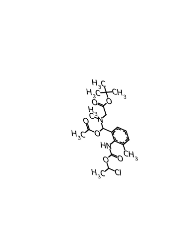 CC(=O)OC(c1cccc(C)c1NC(=O)OC(C)Cl)N(C)CC(=O)OC(C)(C)C